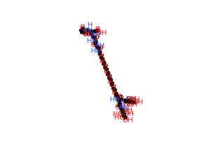 O=C(O)CC[C@H](NC(=O)CN1C(=O)C=CC1=O)C(=O)NCC(=O)NCC(=O)NCC(=O)NCCOCCOCCOCCOCCOCCOCCOCCOCCC(=O)N[C@@H](CCC(=O)NC[C@H](O)[C@@H](O)[C@H](O)[C@H](O)CO)C(=O)NC[C@H](O)[C@@H](O)[C@H](O)[C@H](O)CO